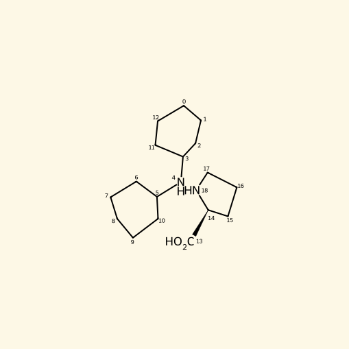 C1CCC(NC2CCCCC2)CC1.O=C(O)[C@@H]1CCCN1